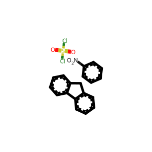 O=S(=O)(Cl)Cl.O=[N+]([O-])c1ccccc1.c1ccc2c(c1)Cc1ccccc1-2